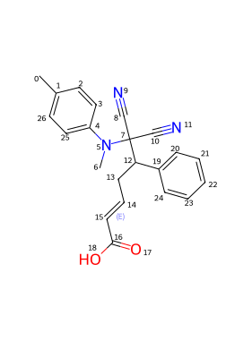 Cc1ccc(N(C)C(C#N)(C#N)C(C/C=C/C(=O)O)c2ccccc2)cc1